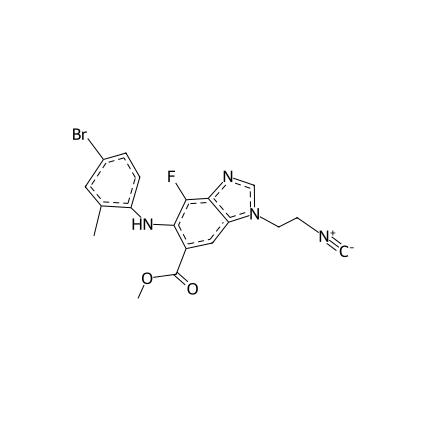 [C-]#[N+]CCn1cnc2c(F)c(Nc3ccc(Br)cc3C)c(C(=O)OC)cc21